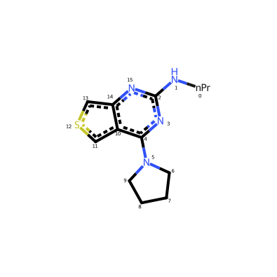 CCCNc1nc(N2CCCC2)c2cscc2n1